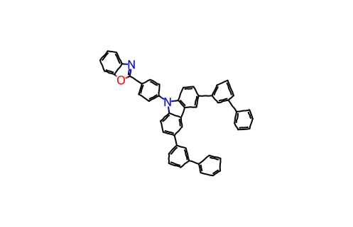 c1ccc(-c2cccc(-c3ccc4c(c3)c3cc(-c5cccc(-c6ccccc6)c5)ccc3n4-c3ccc(-c4nc5ccccc5o4)cc3)c2)cc1